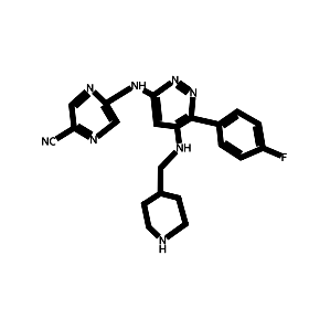 N#Cc1cnc(Nc2cc(NCC3CCNCC3)c(-c3ccc(F)cc3)nn2)cn1